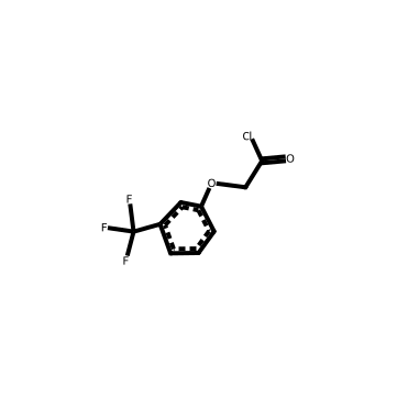 O=C(Cl)COc1cccc(C(F)(F)F)c1